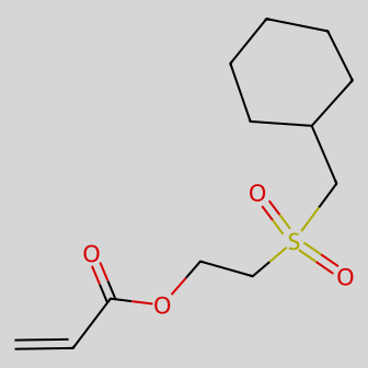 C=CC(=O)OCCS(=O)(=O)CC1CCCCC1